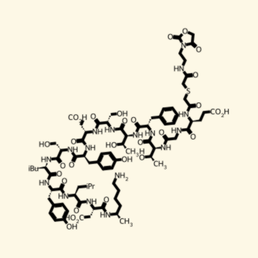 CC[C@H](C)[C@H](NC(=O)[C@H](CO)NC(=O)[C@H](Cc1ccc(O)cc1)NC(=O)[C@H](CC(=O)O)NC(=O)[C@H](CO)NC(=O)[C@@H](NC(=O)[C@H](Cc1ccccc1)NC(=O)[C@@H](NC(=O)CNC(=O)[C@H](CCC(=O)O)NC(=O)CSCC(=O)NCCN1C(=O)COC1=O)[C@@H](C)O)[C@@H](C)O)C(=O)N[C@@H](Cc1ccc(O)cc1)C(=O)N[C@@H](CC(C)C)C(=O)N[C@@H](CC(=O)O)C(=O)N[C@H](C)CCCCN